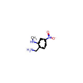 CNc1cc([N+](=O)[O-])ccc1CN